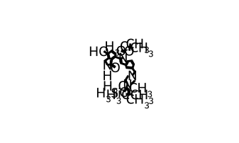 CC(C(C)(C)C)C(C)(O[SiH3])N1CCN(Cc2ccc3c(c2)cc(-c2ccc(O)c4c2C(=O)NC4)n3C(=O)OC(C)(C)C)CC1